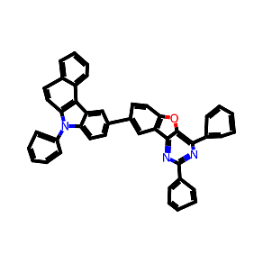 c1ccc(-c2nc(-c3ccccc3)c3oc4ccc(-c5ccc6c(c5)c5c7ccccc7ccc5n6-c5ccccc5)cc4c3n2)cc1